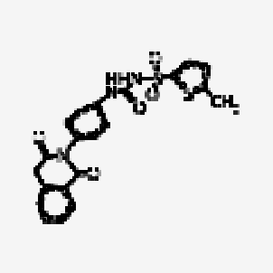 Cc1ccc(S(=O)(=O)NC(=O)Nc2ccc(N3C(=O)Cc4ccccc4C3=O)cc2)s1